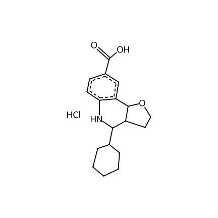 Cl.O=C(O)c1ccc2c(c1)C1OCCC1C(C1CCCCC1)N2